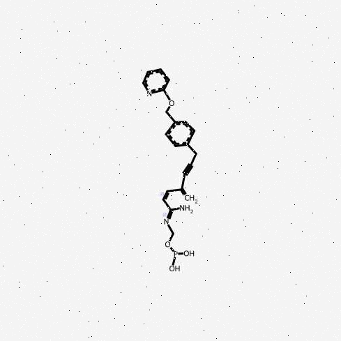 C=C(C#CCc1ccc(COc2ccccn2)cc1)/C=C\C(N)=N\COP(O)O